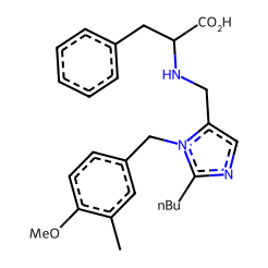 CCCCc1ncc(CNC(Cc2ccccc2)C(=O)O)n1Cc1ccc(OC)c(C)c1